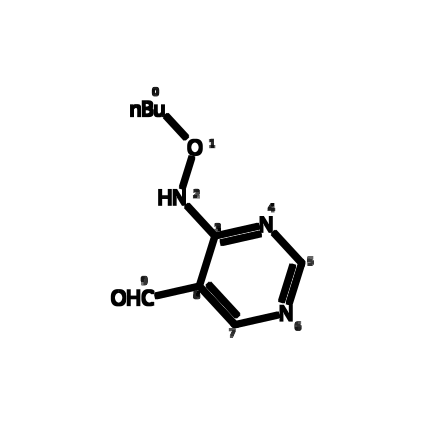 CCCCONc1ncncc1C=O